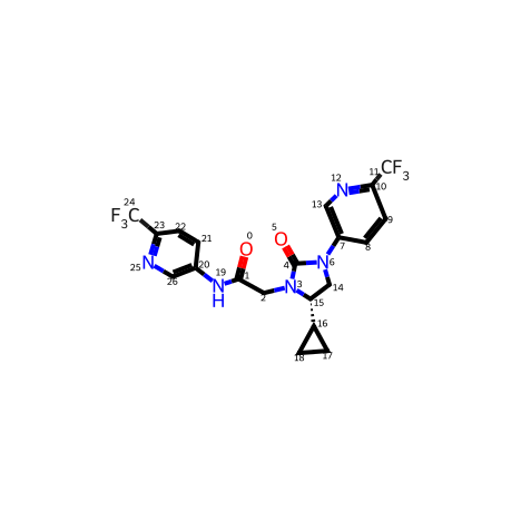 O=C(CN1C(=O)N(c2ccc(C(F)(F)F)nc2)C[C@@H]1C1CC1)Nc1ccc(C(F)(F)F)nc1